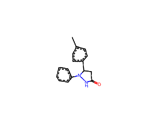 Cc1ccc(C2CC(=O)NN2c2ccccc2)cc1